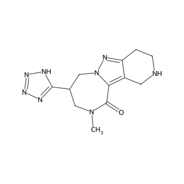 CN1CC(c2nnn[nH]2)Cn2nc3c(c2C1=O)CNCC3